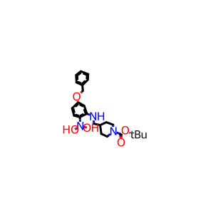 CC(C)(C)OC(=O)N1CCC(CNc2cc(OCc3ccccc3)ccc2N(O)O)CC1